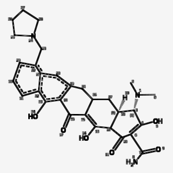 CN(C)[C@@H]1C(O)=C(C(N)=O)C(=O)C2C(O)=C3C(=O)c4c(cc5c(CN6CCCC6)cccc5c4O)CC3C[C@H]21